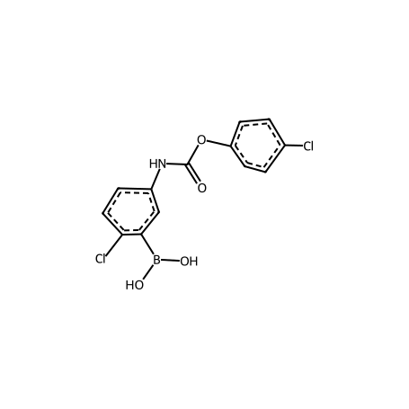 O=C(Nc1ccc(Cl)c(B(O)O)c1)Oc1ccc(Cl)cc1